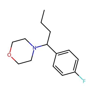 CCCC(c1ccc(F)cc1)N1CCOCC1